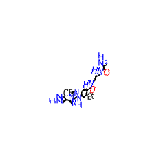 CCc1cc(Nc2nccn3c(-c4c[nH]nc4C(F)(F)F)cnc23)ccc1C(=O)NCCCNC(=O)C(C)N